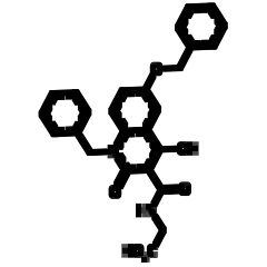 O=C(O)CNC(=O)c1c(O)c2cc(OCc3ccccc3)ccc2n(Cc2ccccc2)c1=O